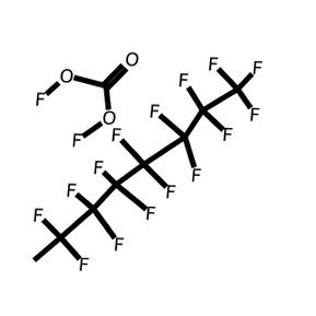 CC(F)(F)C(F)(F)C(F)(F)C(F)(F)C(F)(F)C(F)(F)C(F)(F)F.O=C(OF)OF